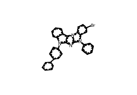 Brc1ccc2c(c1)n(-c1ccccc1)c1nc3c(c4ccccc4n3-c3ccc(-c4ccccc4)cc3)n21